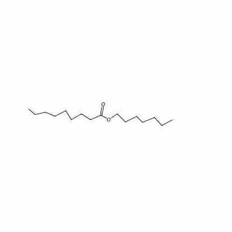 [CH2]CCCCCCOC(=O)CCCCCCCC